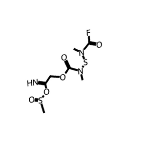 CN(SN(C)C(=O)OCC(=N)OS(C)=O)C(=O)F